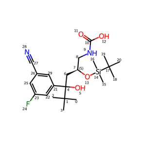 CC(C)(C)C(O)(C[C@@H](CNC(=O)O)O[Si](C)(C)C(C)(C)C)c1cc(F)cc(C#N)c1